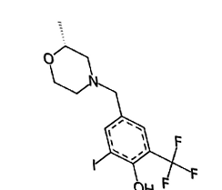 C[C@@H]1CN(Cc2cc(I)c(O)c(C(F)(F)F)c2)CCO1